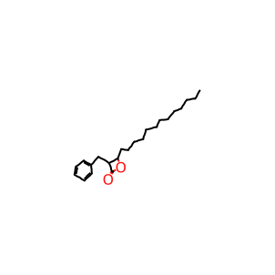 CCCCCCCCCCCCCC1OC(=O)C1Cc1ccccc1